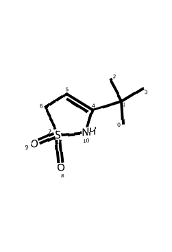 CC(C)(C)C1=CCS(=O)(=O)N1